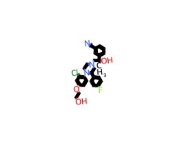 CC(O)(CN1CCN(c2ccc(OCCO)cc2Cl)C(c2ccc(F)cc2)C1)c1cccc(C#N)c1